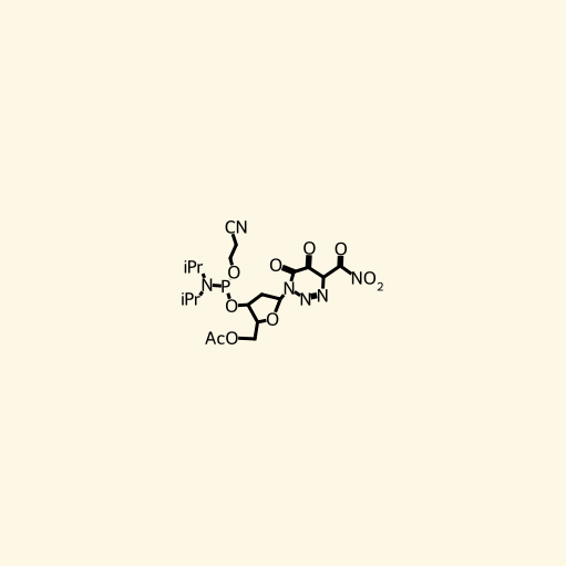 CC(=O)OCC1OC(N2N=NC(C(=O)[N+](=O)[O-])C(=O)C2=O)CC1OP(OCCC#N)N(C(C)C)C(C)C